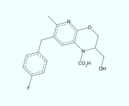 Cc1nc2c(cc1Cc1ccc(F)cc1)N(C(=O)O)C(CO)CO2